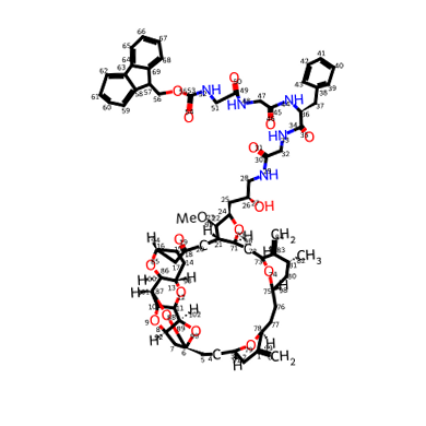 C=C1C[C@@H]2CC[C@@]34C[C@H]5OC6C(O[C@H]7CC[C@H](CC(=O)C[C@@H]8[C@@H](OC)[C@@H](C[C@H](O)CNC(=O)CNC(=O)[C@H](Cc9ccccc9)NC(=O)CNC(=O)CNC(=O)OCC9c%10ccccc%10-c%10ccccc%109)O[C@H]8C[C@H]8O[C@@H](CC[C@@H]1O2)C[C@@H](C)C8=C)O[C@@H]7[C@@H]6O3)[C@H]5O4